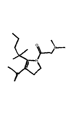 CCCC(C)(C)C1=C(C(C)C)CCN1C(=O)CN(C)C